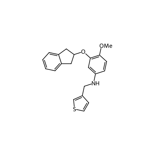 COc1ccc(NCc2ccsc2)cc1OC1Cc2ccccc2C1